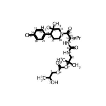 CC(O)COC(=O)OC(C)(C)CNC(=O)N[C@@H](C(=O)N1CCC(c2ccc(Cl)cc2)C(C)(C)C1)C(C)C